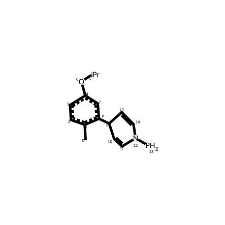 Cc1ccc(OC(C)C)cc1C1C=CN(P)C=C1